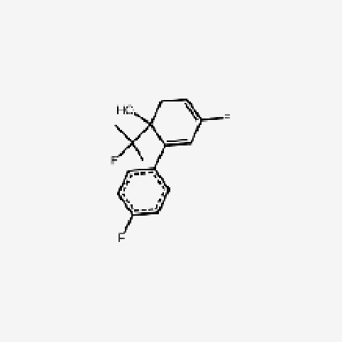 CC(C)(F)C1(O)CC=C(F)C=C1c1ccc(F)cc1